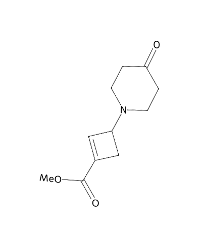 COC(=O)C1=CC(N2CCC(=O)CC2)C1